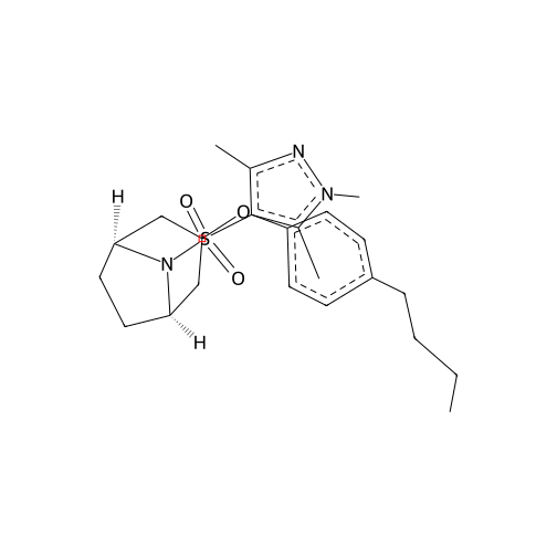 CCCCc1ccc(OC2C[C@H]3CC[C@@H](C2)N3S(=O)(=O)c2c(C)nn(C)c2C)cc1